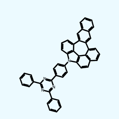 c1ccc(-c2nc(-c3ccccc3)nc(-c3ccc(-n4c5cccc6c5c5c7c(cccc7ccc54)-c4cc5ccccc5cc4-6)cc3)n2)cc1